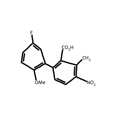 COc1ccc(F)cc1-c1ccc([N+](=O)[O-])c(C)c1C(=O)O